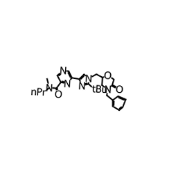 CCCN(C)C(=O)c1cncc(-c2cn(CC3CN(Cc4ccccc4)C(=O)CO3)c(C(C)(C)C)n2)n1